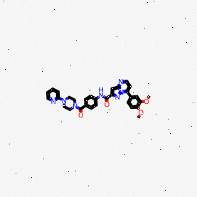 COc1ccc(-c2ccnc3cc(C(=O)Nc4ccc(C(=O)N5CCN(c6ccccn6)CC5)cc4)nn23)cc1OC